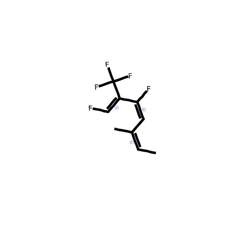 C\C=C(C)/C=C(F)\C(=C\F)C(F)(F)F